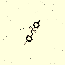 Cc1ccc(S(=O)(=O)CCc2ccc(F)cc2)cc1